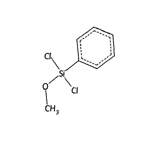 CO[Si](Cl)(Cl)c1ccccc1